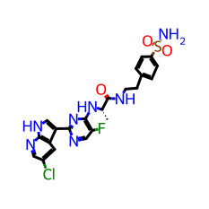 C[C@H](Nc1nc(-c2c[nH]c3ncc(Cl)cc23)ncc1F)C(=O)NCCc1ccc(S(N)(=O)=O)cc1